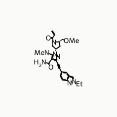 C=CC(=O)N1C[C@@H](n2nc(C#Cc3ccc4nn(CC)cc4c3)c(C(N)=O)c2NC)C[C@@H]1COC